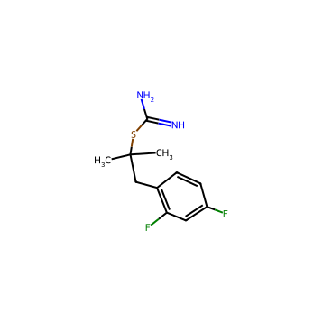 CC(C)(Cc1ccc(F)cc1F)SC(=N)N